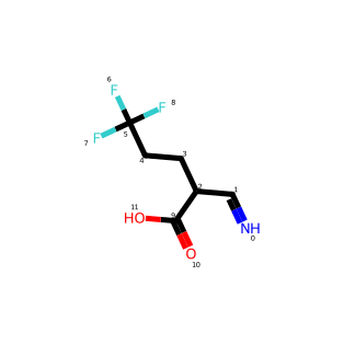 N=CC(CCC(F)(F)F)C(=O)O